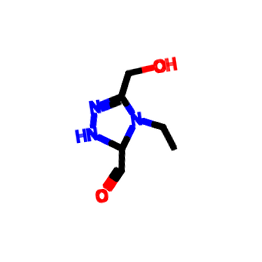 CCN1C(CO)=NNC1C=O